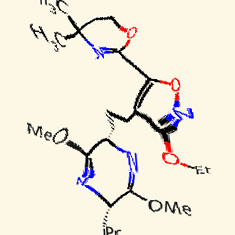 CCOc1noc(C2=NC(C)(C)CO2)c1C[C@@H]1N=C(OC)[C@H](C(C)C)N=C1OC